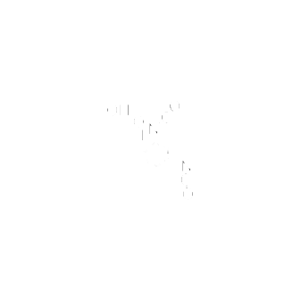 O=C=Nc1ccc(CC(O)CO)c(N=C=O)c1